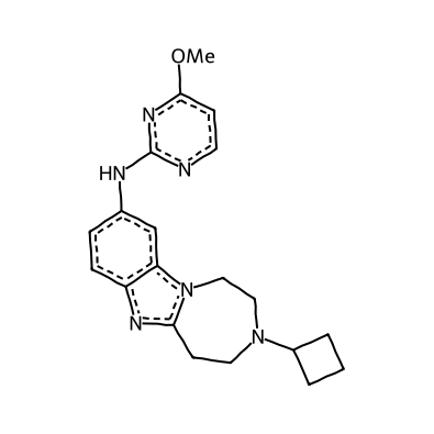 COc1ccnc(Nc2ccc3nc4n(c3c2)CCN(C2CCC2)CC4)n1